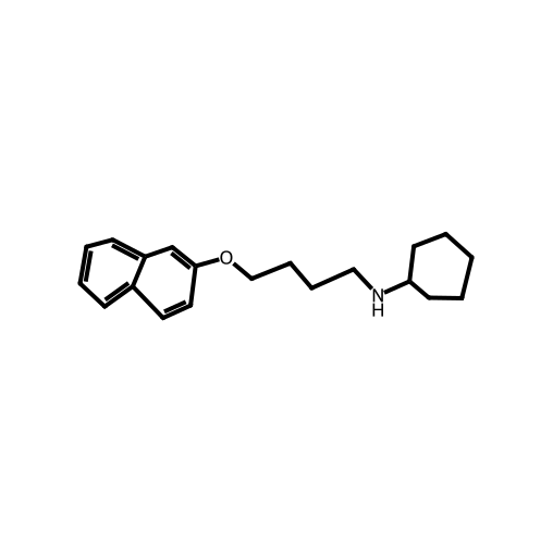 c1ccc2cc(OCCCCNC3CCCCC3)ccc2c1